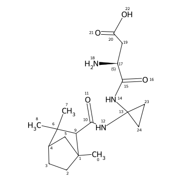 CC12CCC(C1)C(C)(C)C2C(=O)NC1(NC(=O)[C@@H](N)CC(=O)O)CC1